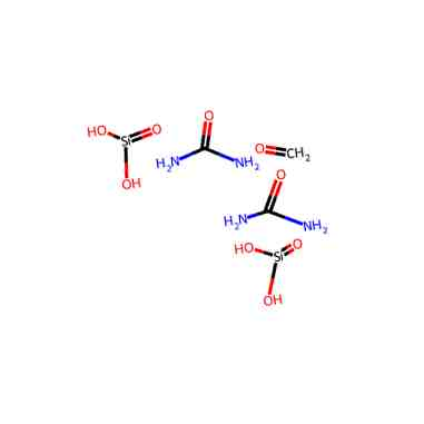 C=O.NC(N)=O.NC(N)=O.O=[Si](O)O.O=[Si](O)O